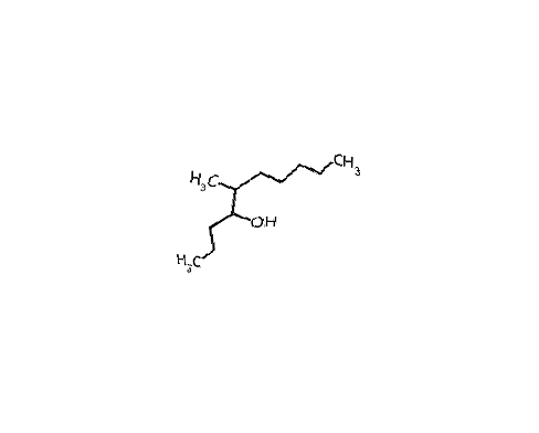 CCCCCC(C)C(O)CCC